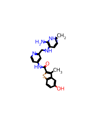 C=C/C=C\C(NCc1cc(NC(=O)c2sc3ccc(O)cc3c2C)ccn1)=C(N)N